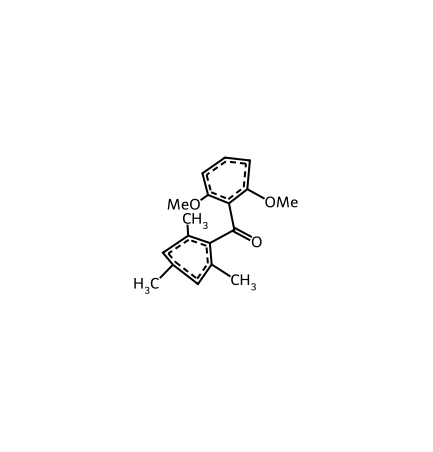 COc1cccc(OC)c1C(=O)c1c(C)cc(C)cc1C